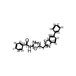 O=C(Nc1nnc(Cc2nc3ccc(-c4ccccc4)cc3s2)o1)c1ccccc1